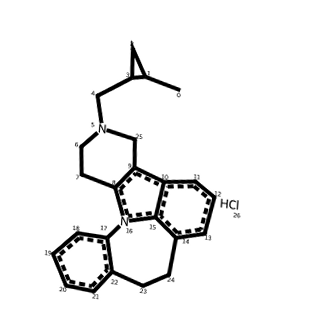 CC1CC1CN1CCc2c(c3cccc4c3n2-c2ccccc2CC4)C1.Cl